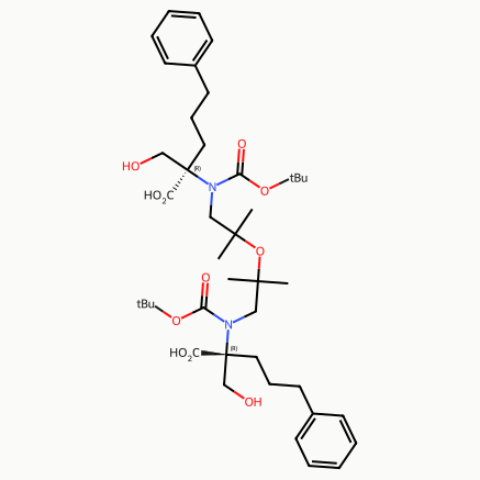 CC(C)(C)OC(=O)N(CC(C)(C)OC(C)(C)CN(C(=O)OC(C)(C)C)[C@@](CO)(CCCc1ccccc1)C(=O)O)[C@@](CO)(CCCc1ccccc1)C(=O)O